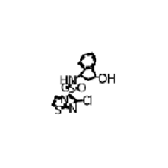 O=S(=O)(NC1CC(O)c2ccccc21)c1c(Cl)nc2sccn12